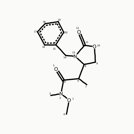 CON(C)C(=O)C(C)C1COC(=O)N1Cc1ccccc1